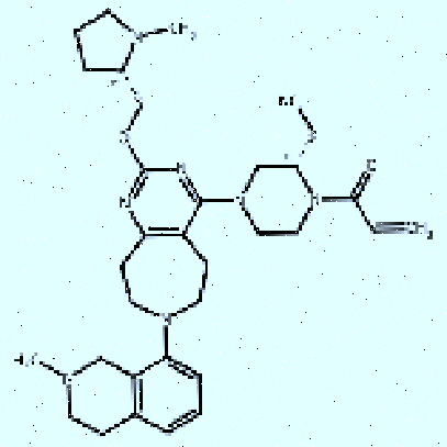 C=CC(=O)N1CCN(c2nc(OC[C@@H]3CCCN3C)nc3c2CCN(c2cccc4c2CN(C)CC4)CC3)C[C@@H]1CC#N